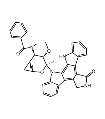 CO[C@@H]1[C@H](N(C)C(=O)c2ccccc2)C2C[C@H]2O[C@]1(C)n1c2ccccc2c2c3c(c4c5ccccc5[nH]c4c21)C(=O)NC3